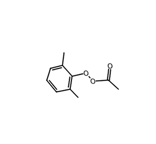 CC(=O)OOc1c(C)cccc1C